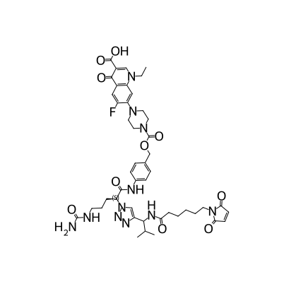 CCn1cc(C(=O)O)c(=O)c2cc(F)c(N3CCN(C(=O)OCc4ccc(NC(=O)[C@H](CCCNC(N)=O)n5cc(C(NC(=O)CCCCCN6C(=O)C=CC6=O)C(C)C)nn5)cc4)CC3)cc21